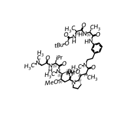 CC[C@H](C)[C@@H]([C@@H](CC(=O)N1CCC[C@H]1[C@H](OC)[C@@H](C)C(=O)N(C)CCc1cccc(NC(=O)[C@H](C)NC(=O)[C@H](C)NC(=O)OC(C)(C)C)c1)OC)N(C)C(=O)[C@@H](NC(=O)CN(C)C)C(C)C